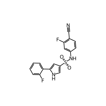 N#Cc1ccc(NS(=O)(=O)c2c[nH]c(-c3ccccc3F)c2)cc1F